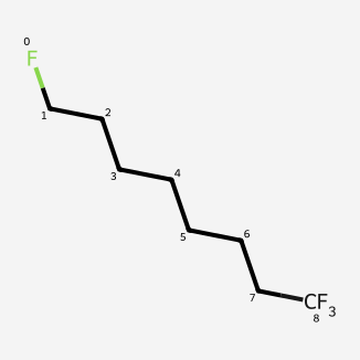 FCCCCCCCC(F)(F)F